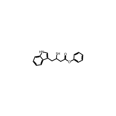 O=C(CC(S)Cc1c[nH]c2ccccc12)Oc1ccccc1